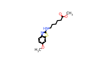 COC(=O)CCCCCNc1nc2ccc(OC)cc2s1